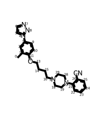 Cc1cc(-n2ccnn2)ccc1OCCCCN1CCN(c2ccccc2C#N)CC1